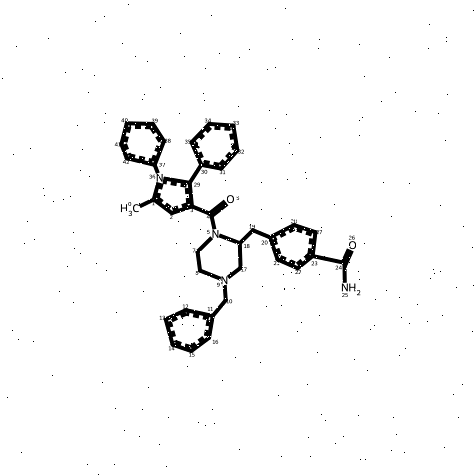 Cc1cc(C(=O)N2CCN(Cc3ccccc3)CC2Cc2ccc(C(N)=O)cc2)c(-c2ccccc2)n1-c1ccccc1